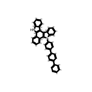 c1ccc(-c2ccc(-c3ccc(-n4c5ccccc5c5c6c7ccccc7[nH]c6c6ccccc6c54)cc3)cc2)cc1